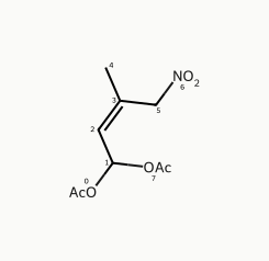 CC(=O)OC(C=C(C)C[N+](=O)[O-])OC(C)=O